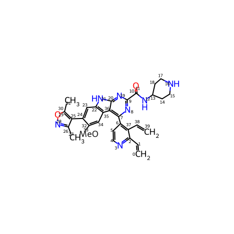 C=Cc1nccc(-c2nc(C(=O)NC3CCNCC3)nc3[nH]c4cc(-c5c(C)noc5C)c(OC)cc4c23)c1C=C